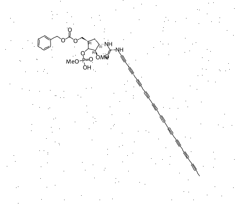 CC#CC#CC#CC#CC#CC#CC#CC#CC#CC#CNC(=O)N[C@H]1C[C@H](COC(=O)OCc2ccccc2)C(OP(=O)(O)OC)[C@@H]1OC